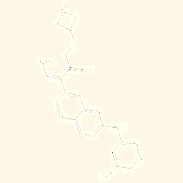 CN/C=C(\C(=N)COC1CNC1)c1cnc2ccc(Nc3cc(C(C)C)cnn3)nc2c1